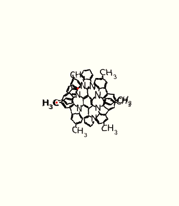 Cc1ccc2c(c1)c1cc(C)ccc1n2-c1c(-c2ccccn2)c(-n2c3ccc(C)cc3c3cc(C)ccc32)c(-n2c3ccc(C)cc3c3cc(C)ccc32)c(-c2nc3ccccc3n2-c2ccccc2)c1-n1c2ccc(C)cc2c2cc(C)ccc21